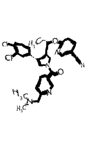 C[C@H](Oc1ccc(C#N)cn1)[C@H]1CN(C(=O)c2ccc(CN(C)C)nc2)C[C@@H]1c1ccc(Cl)c(Cl)c1